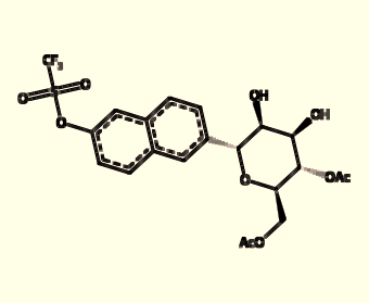 CC(=O)OC[C@H]1O[C@H](c2ccc3cc(OS(=O)(=O)C(F)(F)F)ccc3c2)[C@@H](O)[C@@H](O)[C@@H]1OC(C)=O